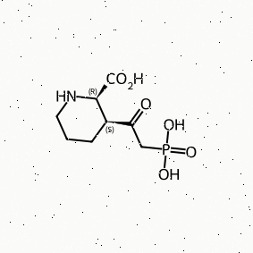 O=C(CP(=O)(O)O)[C@H]1CCCN[C@H]1C(=O)O